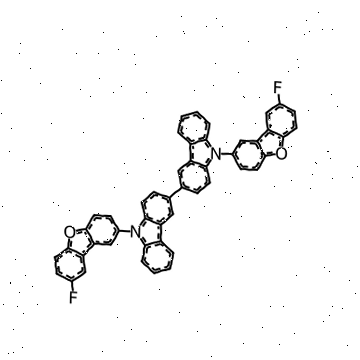 Fc1ccc2oc3ccc(-n4c5ccccc5c5cc(-c6ccc7c(c6)c6ccccc6n7-c6ccc7oc8ccc(F)cc8c7c6)ccc54)cc3c2c1